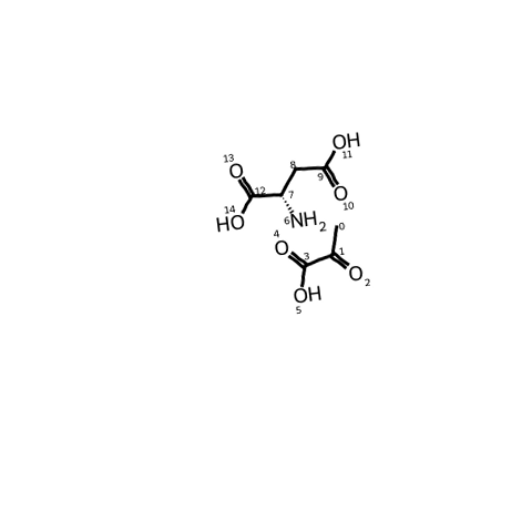 CC(=O)C(=O)O.N[C@@H](CC(=O)O)C(=O)O